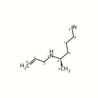 C=CCN[C@H](C)CCCC(C)C